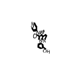 O=C(Nc1ccncc1)c1cn(-c2cccc(CO)c2)c2ncccc2c1=O